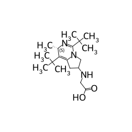 C[C@@H]1N=C(C(C)(C)C)N2CC(NCC(=O)O)CC2=C1C(C)(C)C